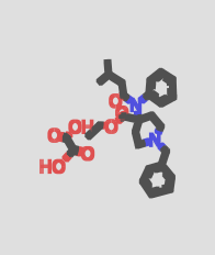 CCOC(=O)C1(N(C(=O)CC(C)C)c2ccccc2)CCN(Cc2ccccc2)CC1.O=C(O)C(=O)O